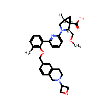 COC[C@H]1N(c2cccc(-c3cccc(C)c3OCc3ccc4c(c3)CCN(C3COC3)C4)n2)C[C@@H]2C[C@@]21C(=O)O